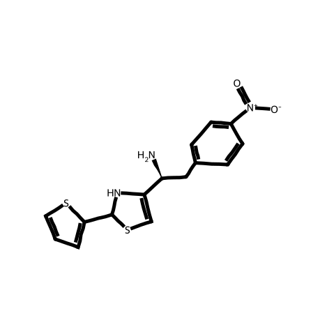 N[C@@H](Cc1ccc([N+](=O)[O-])cc1)C1=CSC(c2cccs2)N1